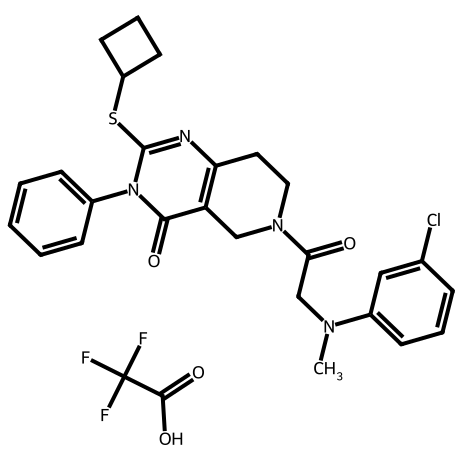 CN(CC(=O)N1CCc2nc(SC3CCC3)n(-c3ccccc3)c(=O)c2C1)c1cccc(Cl)c1.O=C(O)C(F)(F)F